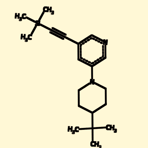 CC(C)(C)C1CCN(c2cncc(C#C[Si](C)(C)C)c2)CC1